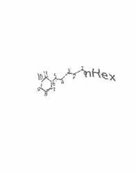 CCCCCCCCCC[CH]C1C=CCCC1